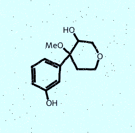 COC1(c2cccc(O)c2)CCOCC1O